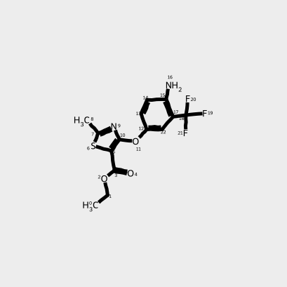 CCOC(=O)c1sc(C)nc1Oc1ccc(N)c(C(F)(F)F)c1